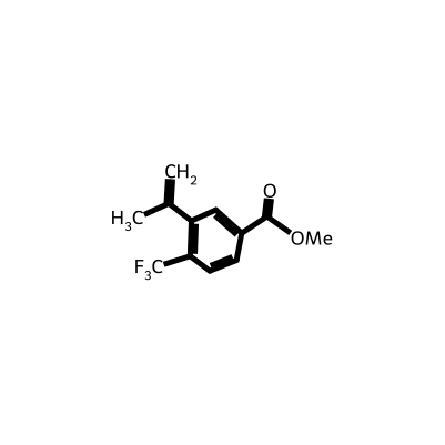 C=C(C)c1cc(C(=O)OC)ccc1C(F)(F)F